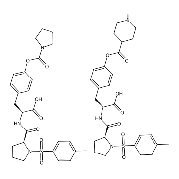 Cc1ccc(S(=O)(=O)N2CCC[C@H]2C(=O)N[C@@H](Cc2ccc(OC(=O)C3CCNCC3)cc2)C(=O)O)cc1.Cc1ccc(S(=O)(=O)N2CCC[C@H]2C(=O)N[C@@H](Cc2ccc(OC(=O)N3CCCC3)cc2)C(=O)O)cc1